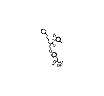 CCOC(Cc1ccc(OCCN(CCCCC2CCCCC2)C(=O)Oc2cc(C)ccc2OC)cc1)C(=O)O